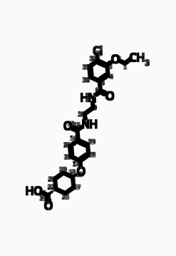 CCOc1cc(C(=O)NCCNC(=O)c2ccc(O[C@H]3CC[C@@H](C(=O)O)CC3)cc2)ccc1Cl